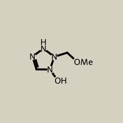 COCN1NN=CN1O